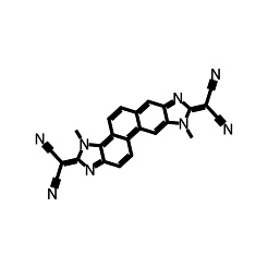 Cn1c(=C(C#N)C#N)nc2cc3ccc4c(ccc5nc(=C(C#N)C#N)n(C)c54)c3cc21